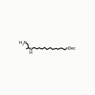 CCCCCCCCCCCCCCCCCCCCCCNC(C)CN